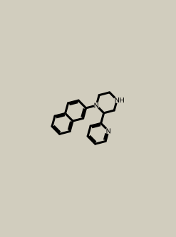 c1ccc(C2CNCCN2c2ccc3ccccc3c2)nc1